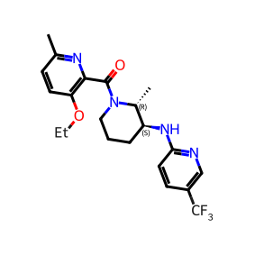 CCOc1ccc(C)nc1C(=O)N1CCC[C@H](Nc2ccc(C(F)(F)F)cn2)[C@H]1C